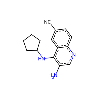 N#Cc1ccc2ncc(N)c(NC3CCCC3)c2c1